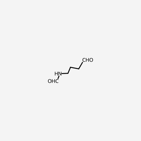 O=CCCCNC=O